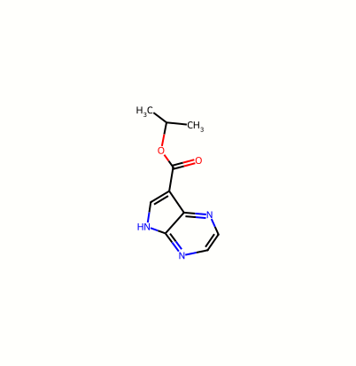 CC(C)OC(=O)c1c[nH]c2nccnc12